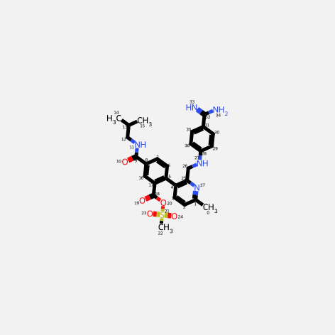 Cc1ccc(-c2ccc(C(=O)NCC(C)C)cc2C(=O)OS(C)(=O)=O)c(CNc2ccc(C(=N)N)cc2)n1